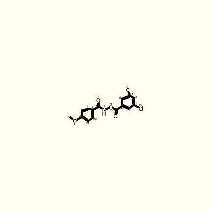 COc1ccc(C(=O)NOC(=O)c2cc(Cl)cc(Cl)c2)cc1